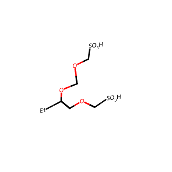 CCC(COCS(=O)(=O)O)OCOCS(=O)(=O)O